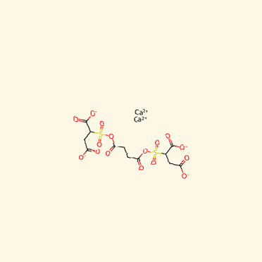 O=C([O-])CC(C(=O)[O-])S(=O)(=O)OC(=O)CCC(=O)OS(=O)(=O)C(CC(=O)[O-])C(=O)[O-].[Ca+2].[Ca+2]